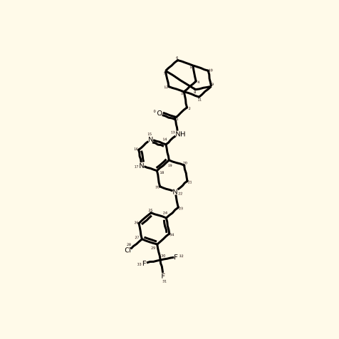 O=C(CC12CC3CC(CC(C3)C1)C2)Nc1ncnc2c1CCN(Cc1ccc(Cl)c(C(F)(F)F)c1)C2